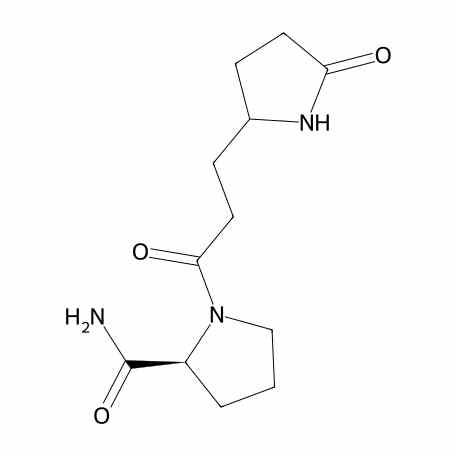 NC(=O)[C@@H]1CCCN1C(=O)CCC1CCC(=O)N1